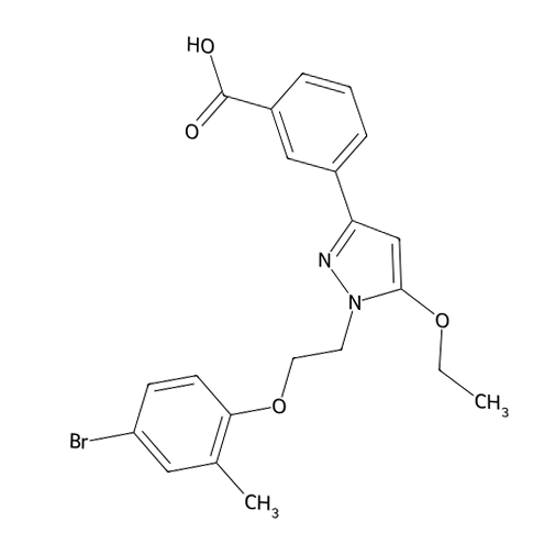 CCOc1cc(-c2cccc(C(=O)O)c2)nn1CCOc1ccc(Br)cc1C